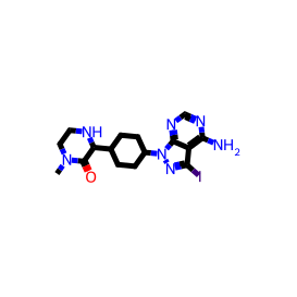 CN1CCNC(C2CCC(n3nc(I)c4c(N)ncnc43)CC2)C1=O